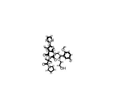 COc1ccc(F)cc1[C@H](Cn1c(=O)n(C(C)(C)C(=O)N2CCCC2)c(=O)c2c(C)c(-n3nccn3)sc21)OCCO